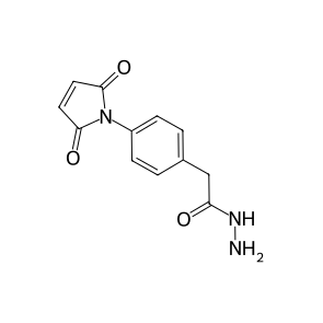 NNC(=O)Cc1ccc(N2C(=O)C=CC2=O)cc1